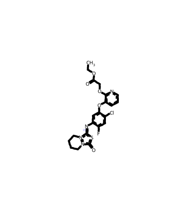 CCOC(=O)COc1ncccc1Oc1cc(/N=c2\sc(=O)n3n2CCCC3)c(F)cc1Cl